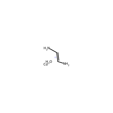 N/C=C/N.O.[Cd]